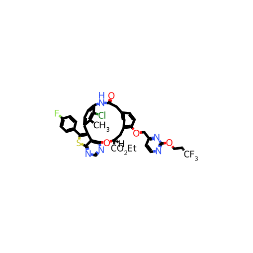 CCOC(=O)[C@H]1Cc2cc(ccc2OCc2ccnc(OCCC(F)(F)F)n2)CC(=O)Nc2ccc(c(C)c2Cl)-c2c(-c3ccc(F)cc3)sc3ncnc(c23)O1